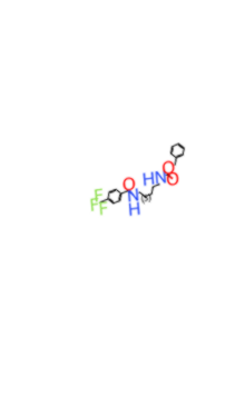 C[C@@H](CCCNC(=O)OCc1ccccc1)CNC(=O)c1ccc(C(F)(F)F)cc1